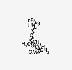 CCCC(=O)NCCCOCCC(C)(C)OCCC(C)(C)OC